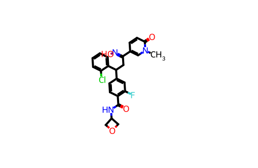 Cn1cc(/C(CC(c2ccc(C(=O)NC3COC3)c(F)c2)c2ccccc2Cl)=N/O)ccc1=O